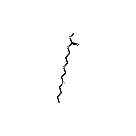 CCCCOCCOCCCOC(=O)OC